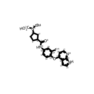 CC(C)(C)N(C(=O)O)C1CCC(C(=O)Nc2ccc(Oc3ccnc4[nH]ccc34)c(F)c2)C1